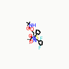 CO[C@@H](C)C(=O)N1N=C(c2cc(F)ccc2F)S[C@@]1(CCCOC(=O)NC(C)(C)C)c1ccccc1